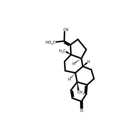 C[C@]12C=CC(=O)C=C1CC[C@@H]1[C@@H]2CC[C@]2(C)C(=C(C#N)C(=O)O)CC[C@@H]12